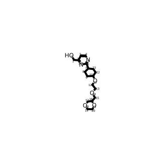 OCc1ccnc(C2CCC(OCCOCC3COCCO3)CC2)n1